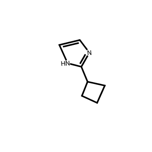 c1c[nH]c(C2CCC2)n1